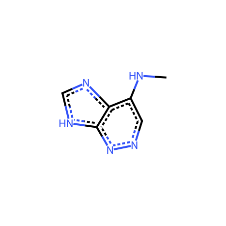 CNc1cnnc2[nH]cnc12